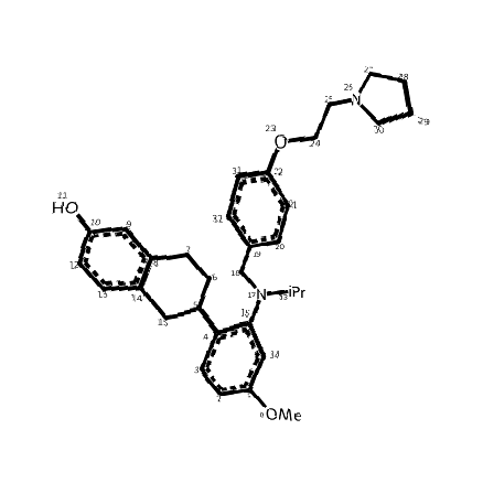 COc1ccc(C2CCc3cc(O)ccc3C2)c(N(Cc2ccc(OCCN3CCCC3)cc2)C(C)C)c1